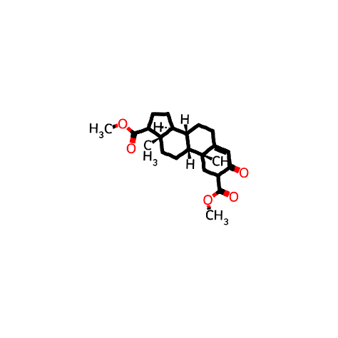 COC(=O)C1C[C@@]2(C)C(=CC1=O)CC[C@@H]1[C@H]2CC[C@]2(C)C(C(=O)OC)CC[C@@H]12